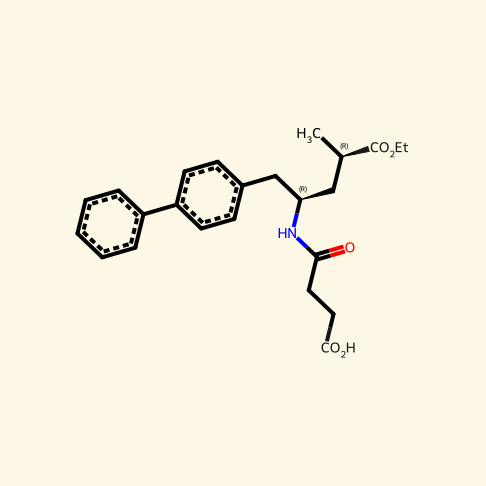 CCOC(=O)[C@H](C)C[C@H](Cc1ccc(-c2ccccc2)cc1)NC(=O)CCC(=O)O